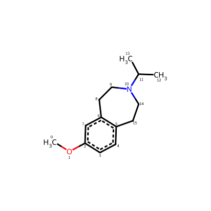 COc1ccc2c(c1)CCN(C(C)C)CC2